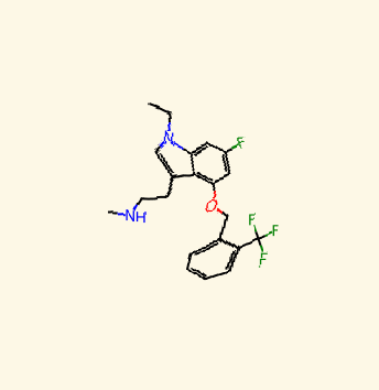 CCn1cc(CCNC)c2c(OCc3ccccc3C(F)(F)F)cc(F)cc21